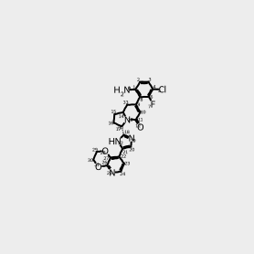 Nc1ccc(Cl)c(F)c1C1=CC(=O)N2C(CC[C@H]2c2ncc(-c3ccnc4c3OCCO4)[nH]2)C1